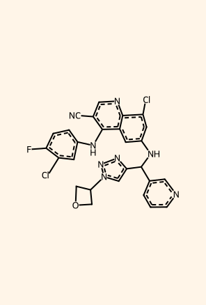 N#Cc1cnc2c(Cl)cc(NC(c3cccnc3)c3cn(C4COC4)nn3)cc2c1Nc1ccc(F)c(Cl)c1